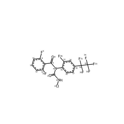 O=C(NCl)N(C(=O)c1c(F)cccc1F)c1ccc(C(F)(F)C(F)(F)F)cc1F